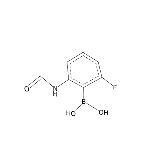 O=CNc1cccc(F)c1B(O)O